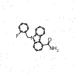 NC(=O)c1cccc2c1c1ccccc1n2Cc1ccccc1F